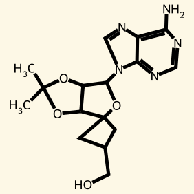 CC1(C)OC2C(n3cnc4c(N)ncnc43)OC3(CC(CO)C3)C2O1